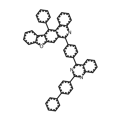 c1ccc(-c2ccc(-c3nc(-c4ccc(-c5nc6ccccc6c6c(-c7ccccc7)c7c(cc56)oc5ccccc57)cc4)c4ccccc4n3)cc2)cc1